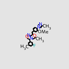 COc1cc(/C=C2\OC(C)CN3C2=NOCC3c2cc(C)cc(F)c2)ccc1-n1cnc(C)c1